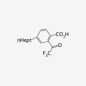 CCCCCCCc1ccc(C(=O)O)c(C(=O)C(F)(F)F)c1